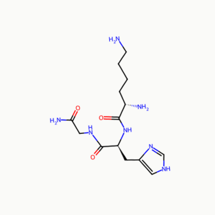 NCCCC[C@H](N)C(=O)N[C@@H](Cc1c[nH]cn1)C(=O)NCC(N)=O